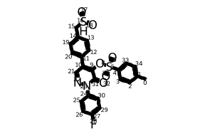 Cc1ccc(S(=O)(=O)Oc2c(-c3ccc(C[SH](=O)=O)cc3)cnn(-c3ccc(F)cc3)c2=O)cc1